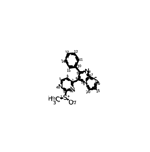 C[S+]([O-])c1nccc(-c2c(-c3ccccc3)nc3sccn23)n1